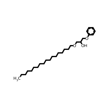 CCCCCCCCCCCCCCCCCCOCC(O)COc1ccccc1